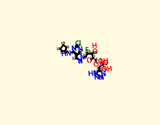 O=P(O)(O)C(OC[C@H]1O[C@@H](n2ncc3c(NC4CCCC4)nc(Cl)nc32)[C@@H](F)[C@@H]1O)c1nnn[nH]1